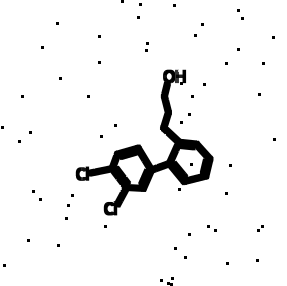 OCCCc1ccccc1-c1ccc(Cl)c(Cl)c1